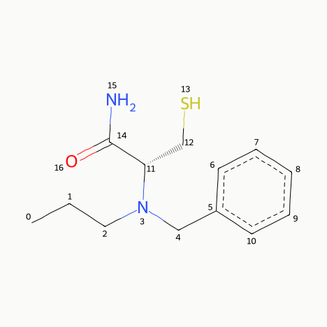 CCCN(Cc1ccccc1)[C@@H](CS)C(N)=O